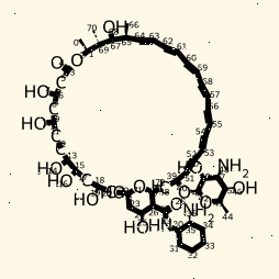 C[C@@H]1OC(=O)CC(O)CC(O)CCC(O)C(O)C[C@H](O)CC2(O)C[C@H](O)C(C(=O)NC3CCCC[C@H]3N)[C@H](CC(O[C@@H]3O[C@H](C)[C@@H](O)[C@H](N)[C@@H]3O)/C=C/C=C/C=C/C=C/C=C/C=C/C=C/[C@H](C)C(O)[C@H]1C)O2